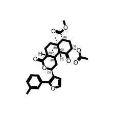 COC(=O)[C@@H]1C[C@H](OC(C)=O)C(=O)[C@H]2[C@@]1(C)CC[C@H]1C(=O)O[C@H](c3ccoc3-c3cccc(C)c3)C[C@]21C